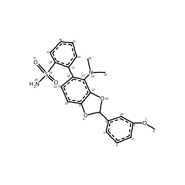 COc1cccc(C2Oc3ccc(-c4ccccc4S(N)(=O)=O)c(N(C)C)c3O2)c1